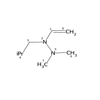 C=CN(CC(C)C)N(C)C